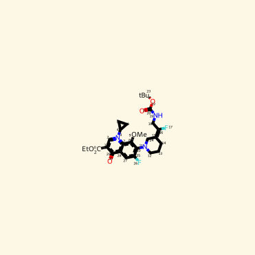 CCOC(=O)c1cn(C2CC2)c2c(OC)c(N3CCC/C(=C(\F)CNC(=O)OC(C)(C)C)C3)c(F)cc2c1=O